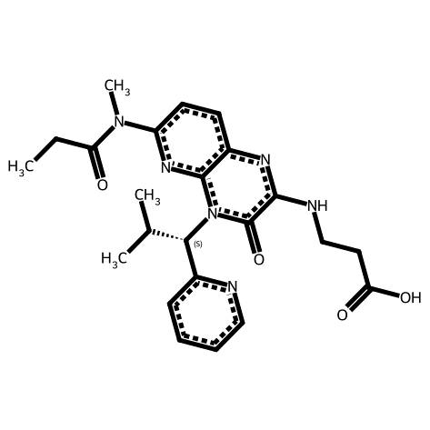 CCC(=O)N(C)c1ccc2nc(NCCC(=O)O)c(=O)n([C@H](c3ccccn3)C(C)C)c2n1